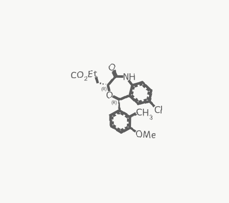 CCOC(=O)C[C@H]1O[C@H](c2cccc(OC)c2C)c2cc(Cl)ccc2NC1=O